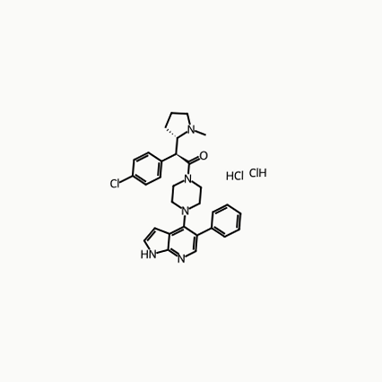 CN1CCC[C@H]1[C@@H](C(=O)N1CCN(c2c(-c3ccccc3)cnc3[nH]ccc23)CC1)c1ccc(Cl)cc1.Cl.Cl